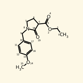 CCOC(=O)C1CCN(Cc2ccc(OC)cc2)C1=O